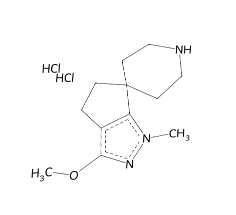 COc1nn(C)c2c1CCC21CCNCC1.Cl.Cl